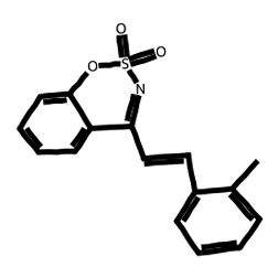 Cc1ccccc1C=CC1=NS(=O)(=O)Oc2ccccc21